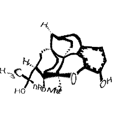 CCC[C@](C)(O)[C@H]1C[C@@]23CC[C@]1(OC)[C@@H]1Oc4c(O)ccc5c4[C@@]12CCC[C@@H]3C5